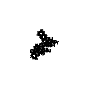 CCC(C)C(NC(=O)C(C)NC1(C(=O)N2CCN(C)CC2)CCCCC1)C(=O)N[C@@H](Cc1ccc2ccccc2c1)[C@@H](O)[C@@H](O)CC(C)C